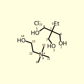 CCC(CO)(CO)CO.C[N+](C)(C)CCO.[Cl-]